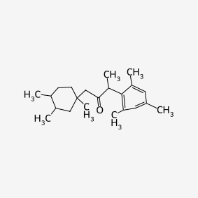 Cc1cc(C)c(C(C)C(=O)CC2(C)CCC(C)C(C)C2)c(C)c1